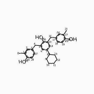 Cc1cc(Cc2cc(C3CCCCC3)cc(Cc3ccc(O)c(C)c3)c2O)ccc1O